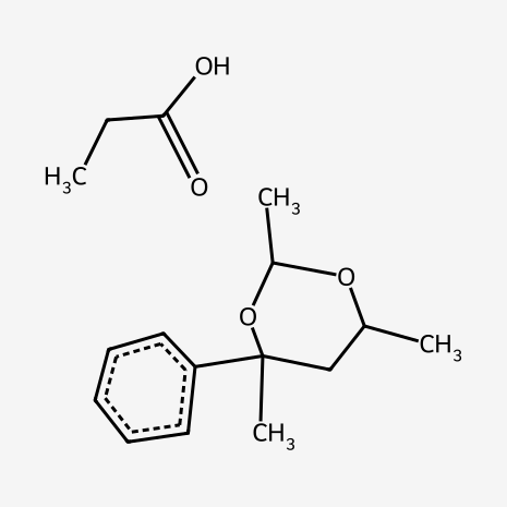 CC1CC(C)(c2ccccc2)OC(C)O1.CCC(=O)O